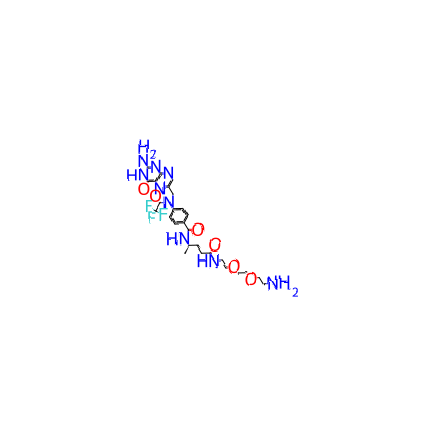 C[C@H](CCC(=O)NCCOCCOCCN)NC(=O)c1ccc(N(Cc2cnc3nc(N)[nH]c(=O)c3n2)C(=O)C(F)(F)F)cc1